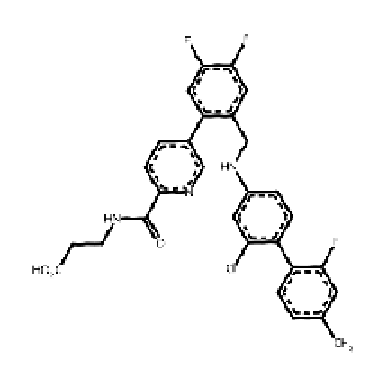 Cc1ccc(-c2ccc(NCc3cc(F)c(F)cc3-c3ccc(C(=O)NCCC(=O)O)nc3)cc2Cl)c(F)c1